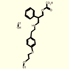 CCO.CCOCCOc1ccc(CCNCC(COC(=O)C(=O)O)c2ccccc2)cc1